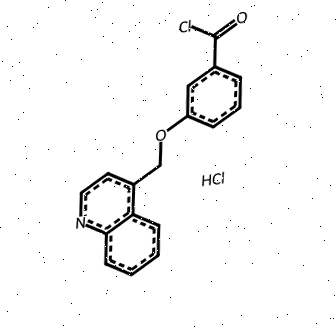 Cl.O=C(Cl)c1cccc(OCc2ccnc3ccccc23)c1